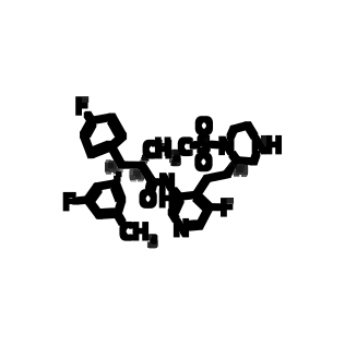 Cc1cc(F)cc([C@H](c2ccc(F)cc2)[C@H](C)C(=O)Nc2cncc(F)c2CC[C@@H]2CNCCN2S(C)(=O)=O)c1